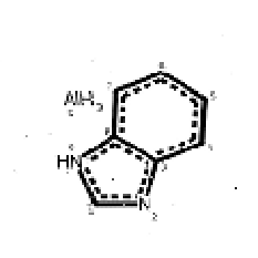 [AlH3].[c]1nc2ccccc2[nH]1